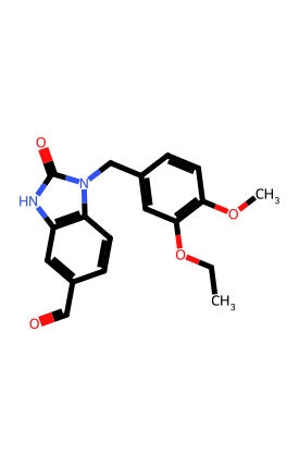 CCOc1cc(Cn2c(=O)[nH]c3cc(C=O)ccc32)ccc1OC